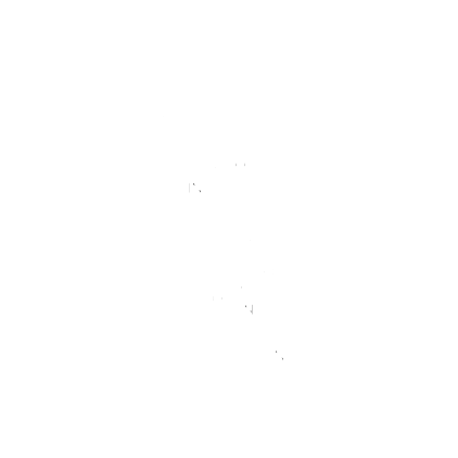 O=C(Nc1ccc(S(=O)(=O)N2CCNCC2)cc1)c1ccccc1